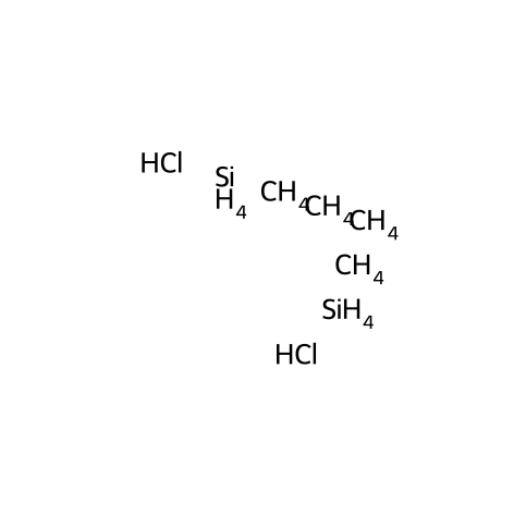 C.C.C.C.Cl.Cl.[SiH4].[SiH4]